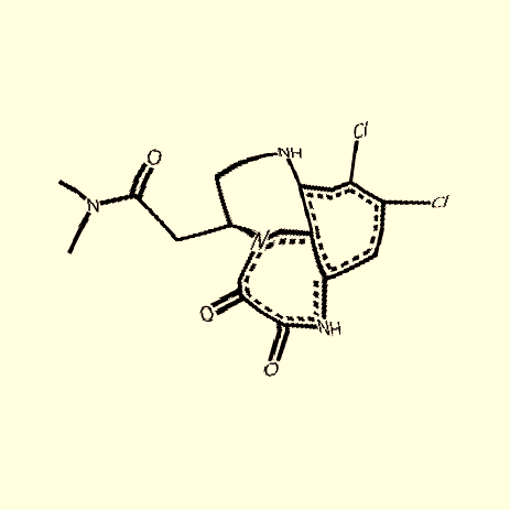 CN(C)C(=O)CC1CNc2c(Cl)c(Cl)cc3[nH]c(=O)c(=O)n1c23